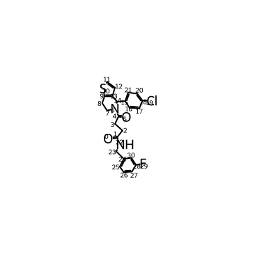 O=C(CCC(=O)N1CCc2sccc2C1c1ccc(Cl)cc1)NCc1cccc(F)c1